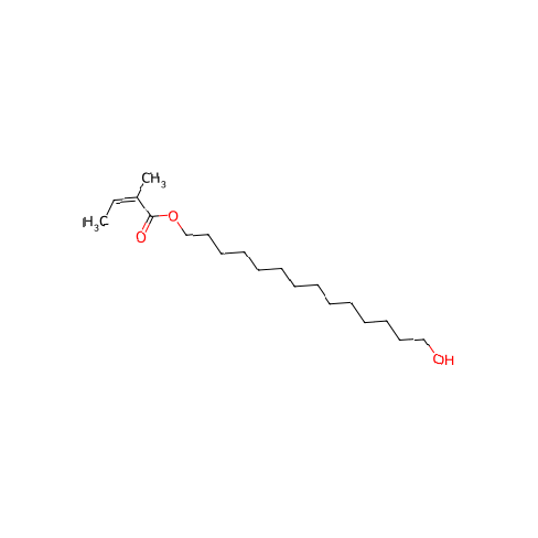 CC=C(C)C(=O)OCCCCCCCCCCCCCCO